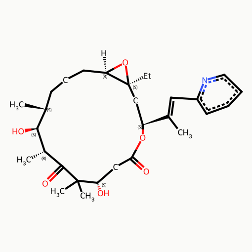 CC[C@]12C[C@@H](C(C)=Cc3ccccn3)OC(=O)C[C@H](O)C(C)(C)C(=O)[C@H](C)[C@@H](O)[C@@H](C)CCC[C@H]1O2